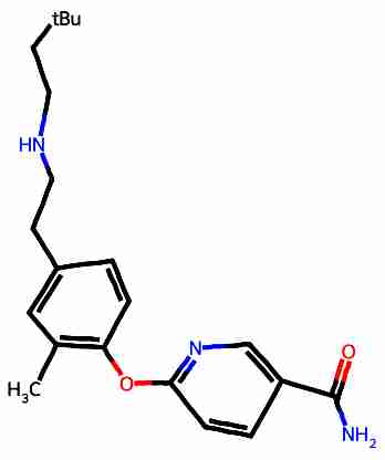 Cc1cc(CCNCCC(C)(C)C)ccc1Oc1ccc(C(N)=O)cn1